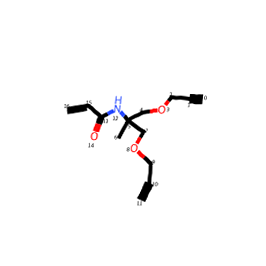 C#CCOCC(C)(COCC#C)NC(=O)C=C